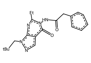 CCc1nc2c(cnn2CC(C)(C)C)c(=O)n1NC(=O)Cc1ccccc1